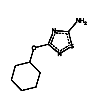 Nc1nc(OC2CCCCC2)ns1